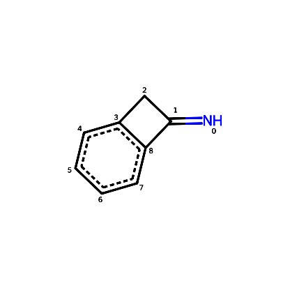 N=C1Cc2ccccc21